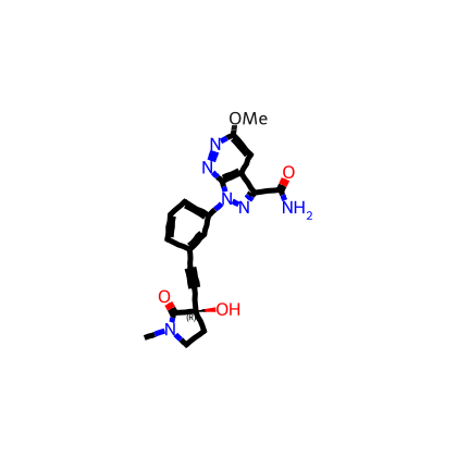 COc1cc2c(C(N)=O)nn(-c3cccc(C#C[C@]4(O)CCN(C)C4=O)c3)c2nn1